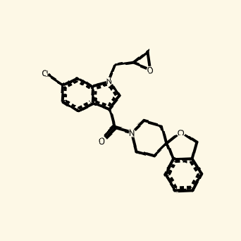 O=C(c1cn(CC2CO2)c2cc(Cl)ccc12)N1CCC2(CC1)OCc1ccccc12